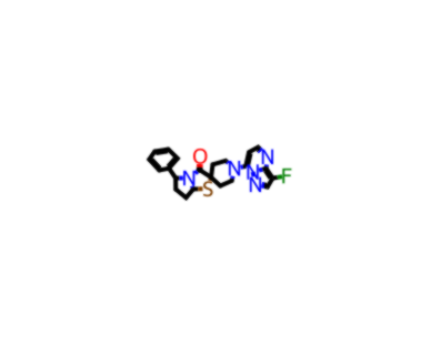 O=C1N2C(CCC2c2ccccc2)SC12CCN(c1ccnc3c(F)cnn13)CC2